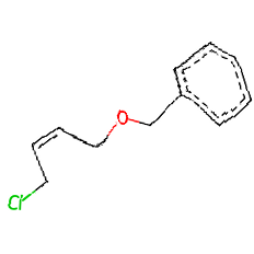 ClC/C=C\COCc1ccccc1